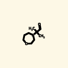 CC(C)(C=O)N1CCCOCC1